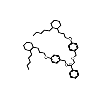 CCCCCC1CCCCC1CCCOc1ccc(COC[C@H](OCc2ccc(OCCCC3CCCCC3CCCCC)cc2)c2ccccc2)cc1